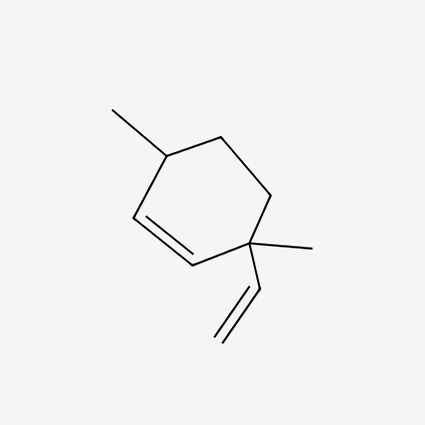 C=CC1(C)C=CC(C)CC1